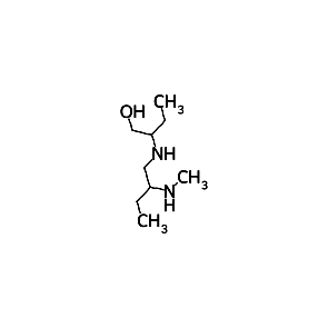 CCC(CNC(CC)CO)NC